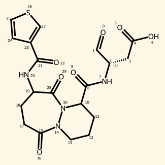 O=C[C@H](CC(=O)O)NC(=O)C1CCCN2C(=O)CCC(NC(=O)c3ccsc3)C(=O)N12